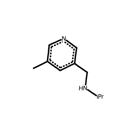 Cc1cncc(CNC(C)C)c1